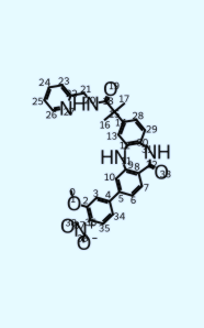 COc1cc(-c2ccc3c(c2)Nc2cc(C(C)(C)C(=O)NCc4ccccn4)ccc2NC3=O)ccc1[N+](=O)[O-]